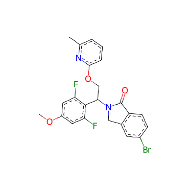 COc1cc(F)c(C(COc2cccc(C)n2)N2Cc3cc(Br)ccc3C2=O)c(F)c1